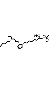 CCCCCC[C@H](CC)CC=C[C@H]1C=CC[C@@H]1CCCCCCC(O)COC(C)=O